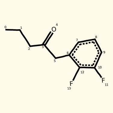 CCCC(=O)Cc1cccc(F)c1F